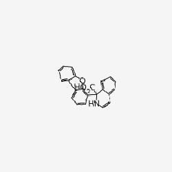 O=C(O)C1(c2cccc3c2oc2ccccc23)NC=Cc2ccccc21